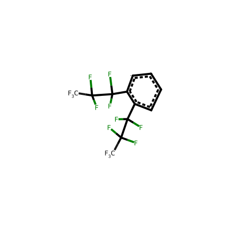 FC(F)(F)C(F)(F)C(F)(F)c1[c]cccc1C(F)(F)C(F)(F)C(F)(F)F